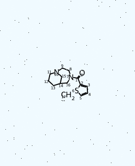 O=C(c1cccs1)N1CCN2CCCC(C2)C1.[CH2]